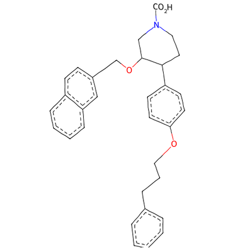 O=C(O)N1CCC(c2ccc(OCCCc3ccccc3)cc2)C(OCc2ccc3ccccc3c2)C1